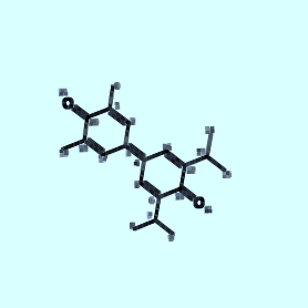 CC1=CC(=C2C=C(C(C)C)C(=O)C(C(C)C)=C2)C=C(C)C1=O